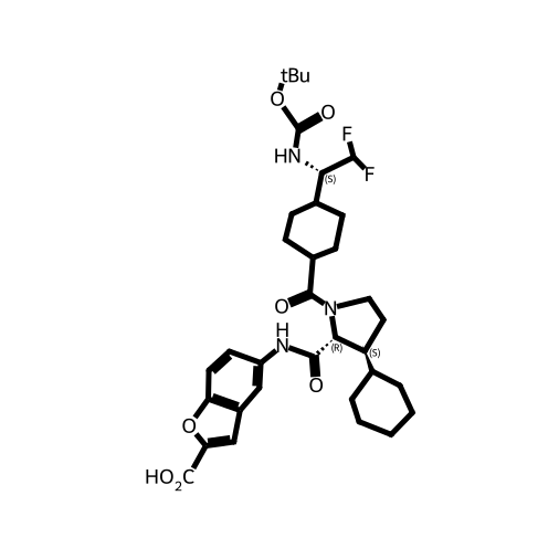 CC(C)(C)OC(=O)N[C@H](C(F)F)C1CCC(C(=O)N2CC[C@@H](C3CCCCC3)[C@@H]2C(=O)Nc2ccc3oc(C(=O)O)cc3c2)CC1